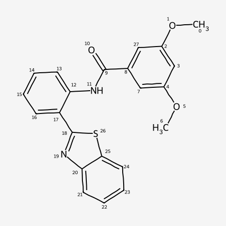 COc1cc(OC)cc(C(=O)Nc2ccccc2-c2nc3ccccc3s2)c1